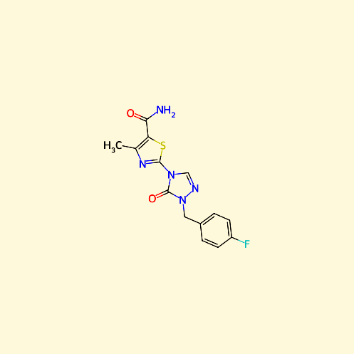 Cc1nc(-n2cnn(Cc3ccc(F)cc3)c2=O)sc1C(N)=O